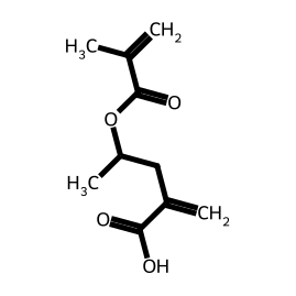 C=C(C)C(=O)OC(C)CC(=C)C(=O)O